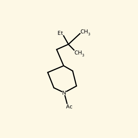 CCC(C)(C)CC1CCN(C(C)=O)CC1